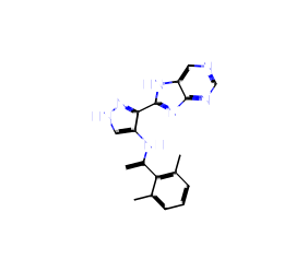 C=C(Nc1c[nH]nc1-c1nc2ncncc2[nH]1)c1c(C)cccc1C